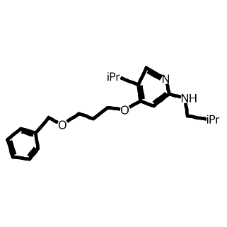 CC(C)CNc1cc(OCCCOCc2ccccc2)c(C(C)C)cn1